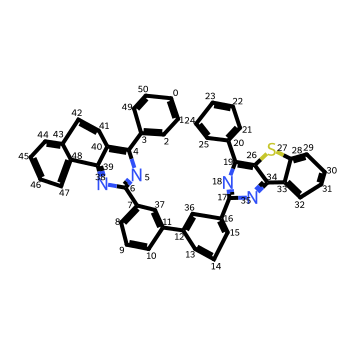 c1ccc(-c2nc(-c3cccc(-c4cccc(-c5nc(-c6ccccc6)c6sc7ccccc7c6n5)c4)c3)nc3c2ccc2ccccc23)cc1